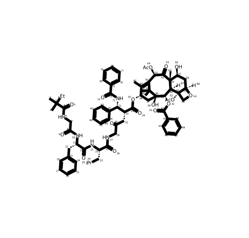 CCC(C)(C)C(=O)NCC(=O)N[C@@H](Cc1ccccc1)C(=O)N[C@@H](CC(C)C)C(=O)NCC(=O)C[C@@H](C(=O)O[C@H]1C[C@@]2(O)[C@@H](OC(=O)c3ccccc3)[C@@H]3[C@]4(OC(C)=O)CO[C@@H]4C[C@H](O)[C@@]3(C)C(=O)[C@H](OC(C)=O)C(=C1C)C2(C)C)[C@@H](NC(=O)c1ccccc1)c1ccccc1